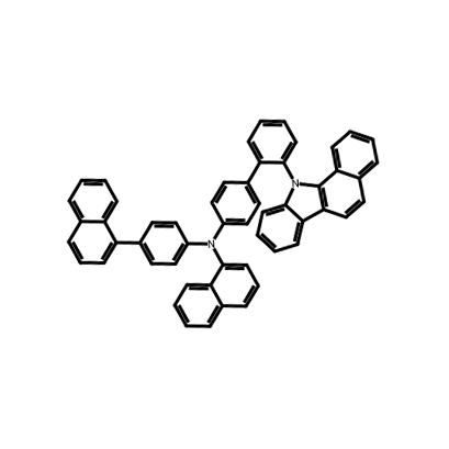 c1ccc(-n2c3ccccc3c3ccc4ccccc4c32)c(-c2ccc(N(c3ccc(-c4cccc5ccccc45)cc3)c3cccc4ccccc34)cc2)c1